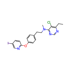 CCc1ncnc(N(C)CCc2ccc(Oc3ccc(I)cn3)cc2)c1Cl